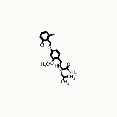 COc1cc(OCc2c(F)cccc2Cl)ccc1CN[C@@H](CC(C)C)C(N)=O